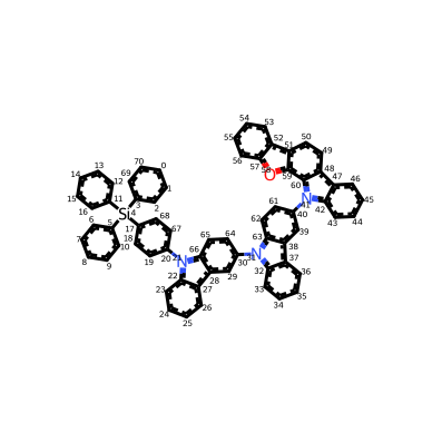 c1ccc([Si](c2ccccc2)(c2ccccc2)c2ccc(-n3c4ccccc4c4cc(-n5c6ccccc6c6cc(-n7c8ccccc8c8ccc9c%10ccccc%10oc9c87)ccc65)ccc43)cc2)cc1